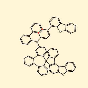 c1ccc(-c2ccccc2N(c2ccc(-c3cccc4c3oc3ccccc34)cc2)c2ccc3c(c2)-c2ccccc2-c2ccccc2C32c3ccccc3-c3c2ccc2oc4ccccc4c32)cc1